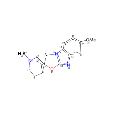 [BH3-][N+]12CCC(CC1)C1(Cn3c(nc4cc(OC)ccc43)O1)C2